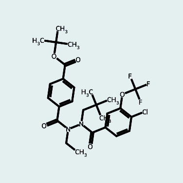 CCN(C(=O)c1ccc(C(=O)OC(C)(C)C)cc1)N(CC(C)(C)C)C(=O)c1ccc(Cl)c(OC(F)(F)F)c1